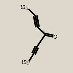 CC(C)(C)C#CC(=O)C#CC(C)(C)C